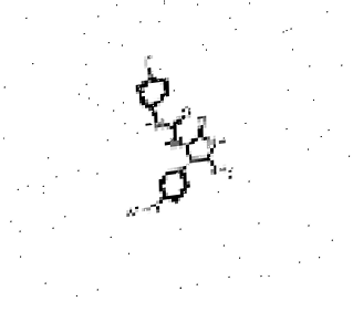 BC1NC(=O)[C@H](NC(=O)Nc2ccc(F)cc2)[C@H]1c1ccc(OC)cc1